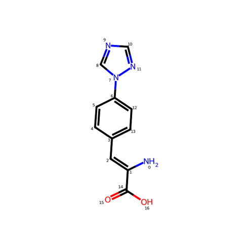 N/C(=C\c1ccc(-n2cncn2)cc1)C(=O)O